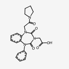 O=C(O)CN1C(=O)N(CC(=O)N2CCCC2)c2ccccc2N(c2ccccc2)C1=O